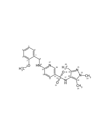 COc1ccccc1CNc1ccc(S(=O)(=O)Nc2c(C)nn(C)c2C)cn1